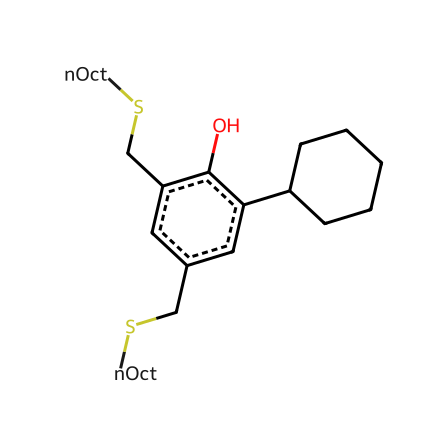 CCCCCCCCSCc1cc(CSCCCCCCCC)c(O)c(C2CCCCC2)c1